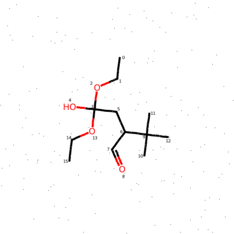 CCOC(O)(CC(C=O)C(C)(C)C)OCC